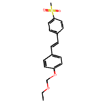 CCOCOc1ccc(C=Cc2ccc(S(C)(=O)=O)cc2)cc1